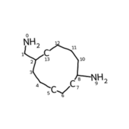 NCC1CCCCCC(N)CCCC1